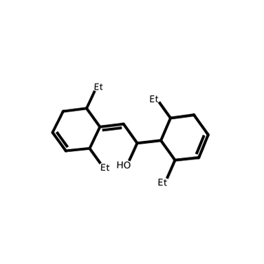 CCC1C=CCC(CC)C1=CC(O)C1C(CC)C=CCC1CC